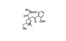 CCC(C)OC(=O)C(CC(=O)c1c(OC)cccc1OC)(CC(C)CC(C)(C)C)P=O